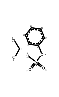 ClCCl.O=S(=O)(Cl)Oc1ccccc1